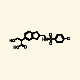 O=C(O)C(CO)c1ccc2c(c1)CC(CNS(=O)(=O)c1ccc(Cl)cc1)C2